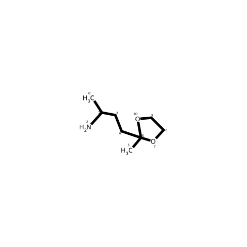 CC(N)CCC1(C)OCCO1